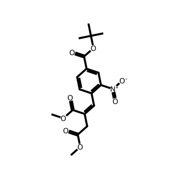 COC(=O)CC(=Cc1ccc(C(=O)OC(C)(C)C)cc1[N+](=O)[O-])C(=O)OC